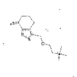 C=C1CCCc2c1cnn2COCC[Si](C)(C)C